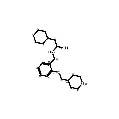 CC(CC1CCCCC1)NCc1ccccc1OCC1CCOCC1